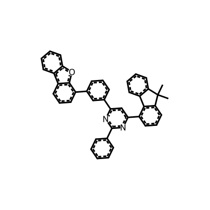 CC1(C)c2ccccc2-c2c(-c3cc(-c4cccc(-c5cccc6c5oc5ccccc56)c4)nc(-c4ccccc4)n3)cccc21